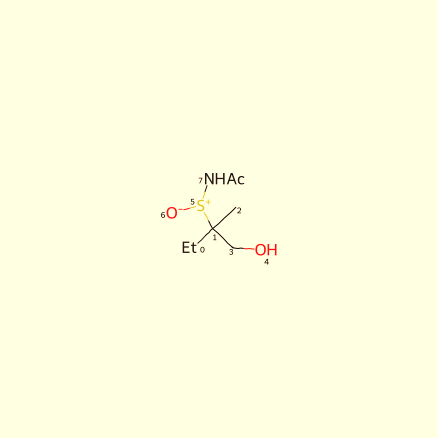 CCC(C)(CO)[S+]([O-])NC(C)=O